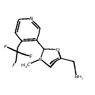 CN1C=C(CN)OC1c1cnccc1C(F)(F)F